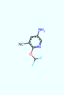 N#Cc1cc(N)cnc1OC(F)F